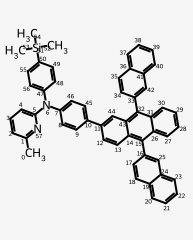 Cc1cccc(N(c2ccc(-c3ccc4c(-c5ccc6ccccc6c5)c5ccccc5c(-c5ccc6ccccc6c5)c4c3)cc2)c2ccc([Si](C)(C)C)cc2)n1